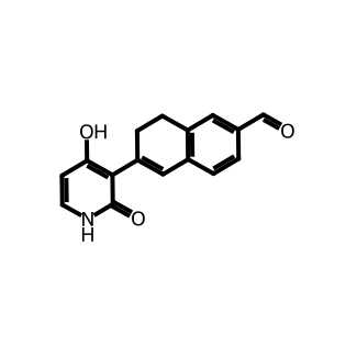 O=Cc1ccc2c(c1)CCC(c1c(O)cc[nH]c1=O)=C2